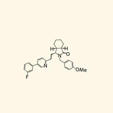 COc1ccc(CN2C(=O)[C@H]3CCCC[C@H]3[C@@H]2/C=C/c2ccc(-c3cccc(F)c3)cn2)cc1